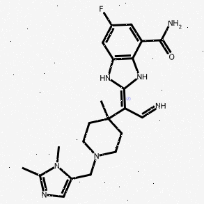 Cc1ncc(CN2CCC(C)(/C(C=N)=C3\Nc4cc(F)cc(C(N)=O)c4N3)CC2)n1C